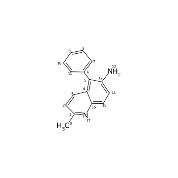 Cc1ccc2c(-c3ccccc3)c(N)ccc2n1